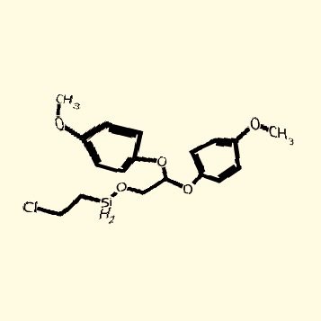 COc1ccc(OC(CO[SiH2]CCCl)Oc2ccc(OC)cc2)cc1